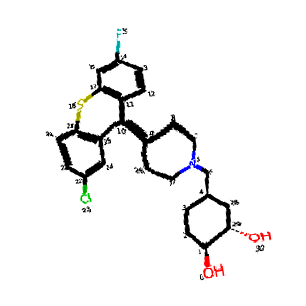 O[C@H]1CC[C@@H](CN2CCC(=C3c4ccc(F)cc4Sc4ccc(Cl)cc43)CC2)C[C@@H]1O